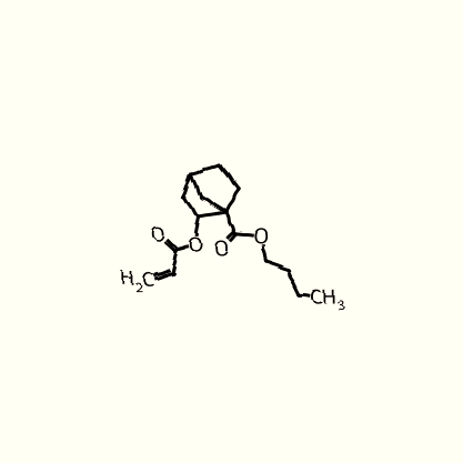 C=CC(=O)OC1CC2CCC1(C(=O)OCCCC)C2